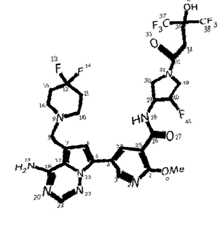 COc1ncc(-c2cc(CN3CCC(F)(F)CC3)c3c(N)ncnn23)cc1C(=O)NC1CN(C(=O)CC(O)(C(F)(F)F)C(F)(F)F)CC1F